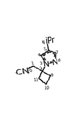 [C-]#[N+]CC1(n2cc(C(C)C)cn2)CCC1